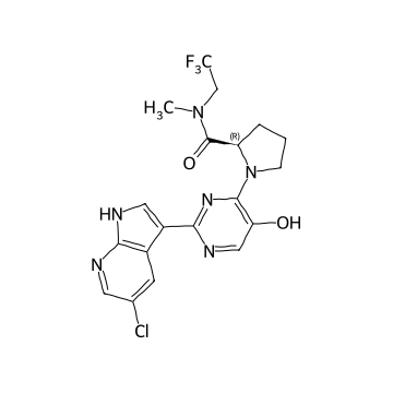 CN(CC(F)(F)F)C(=O)[C@H]1CCCN1c1nc(-c2c[nH]c3ncc(Cl)cc23)ncc1O